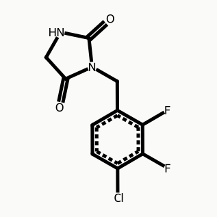 O=C1CNC(=O)N1Cc1ccc(Cl)c(F)c1F